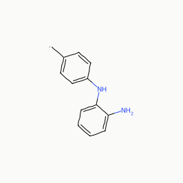 [CH2]c1ccc(Nc2ccccc2N)cc1